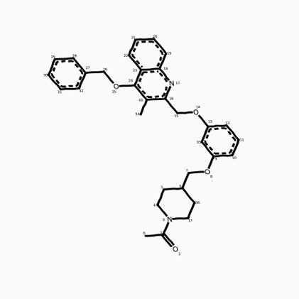 CC(=O)N1CCC(COc2cccc(OCc3nc4ccccc4c(OCc4ccccc4)c3C)c2)CC1